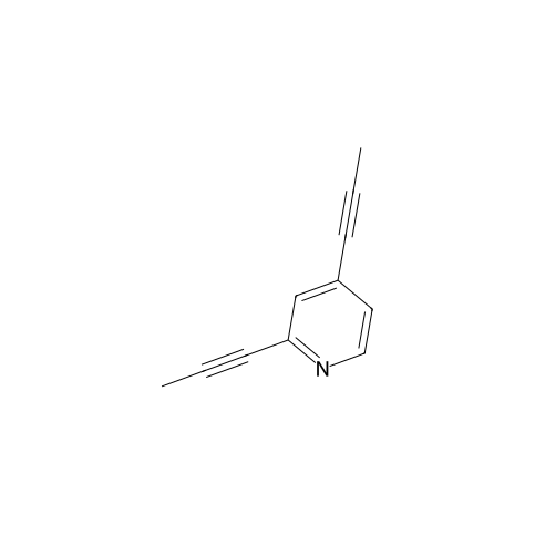 CC#Cc1ccnc(C#CC)c1